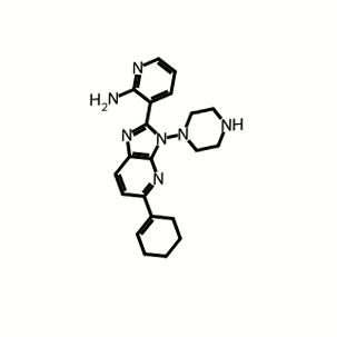 Nc1ncccc1-c1nc2ccc(C3=CCCCC3)nc2n1N1CCNCC1